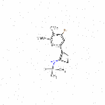 CCC(C)(C)NC1=C(c2cc(Br)c(OC)c(OC)c2)CC1